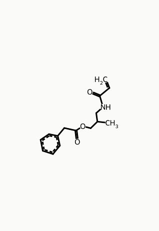 C=CC(=O)NCC(C)COC(=O)Cc1ccccc1